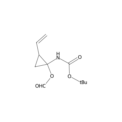 C=CC1CC1(NC(=O)OC(C)(C)C)OC=O